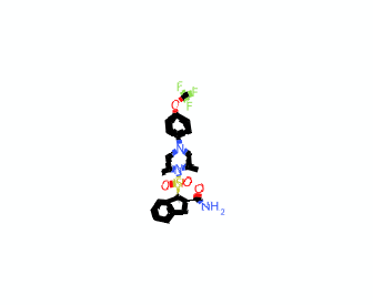 CC1CN(c2ccc(OC(F)(F)F)cc2)CC(C)N1S(=O)(=O)[C@@H]1c2ccccc2C[C@@H]1C(N)=O